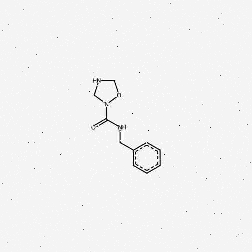 O=C(NCc1ccccc1)N1CNCO1